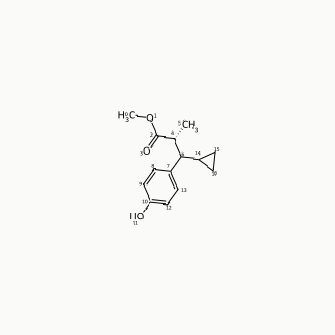 COC(=O)[C@H](C)C(c1ccc(O)cc1)C1CC1